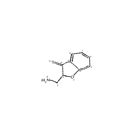 NCC1Oc2ccccc2C1=O